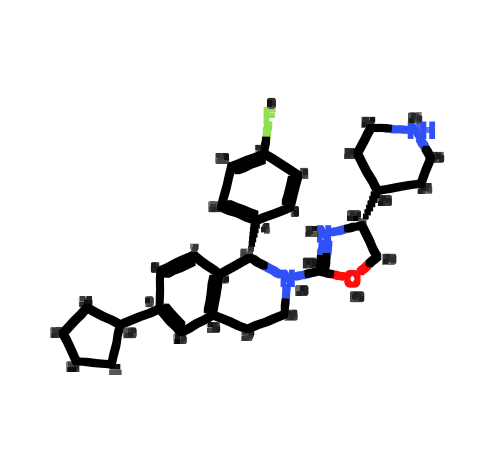 Fc1ccc([C@H]2c3ccc(C4CCCC4)cc3CCN2C2=N[C@H](C3CCNCC3)CO2)cc1